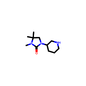 CN1C(=O)N(C2CCCNC2)CC1(C)C